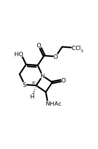 CC(=O)NC1C(=O)N2C(C(=O)OCC(Cl)(Cl)Cl)=C(O)CS[C@H]12